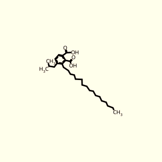 CCCCCCCCCCCCCCCCCc1c(CC(C)C)ccc(C(=O)O)c1C(=O)O